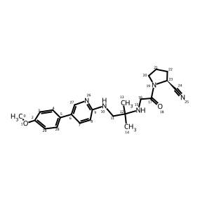 COc1ccc(-c2ccc(NCC(C)(C)NCC(=O)N3CCC[C@H]3C#N)nc2)cc1